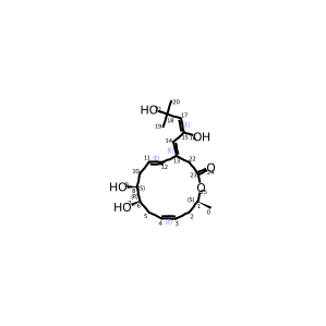 C[C@H]1C/C=C\C[C@@H](O)[C@@H](O)C/C=C/C(=C/C(O)=C\C(C)(C)O)CC(=O)O1